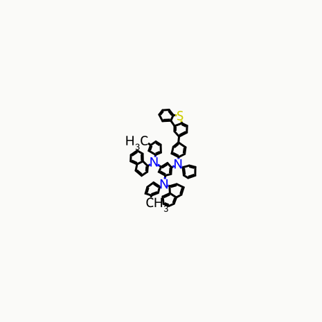 Cc1cccc(N(c2cc(N(c3ccccc3)c3ccc(-c4ccc5sc6ccccc6c5c4)cc3)cc(N(c3cccc(C)c3)c3cccc4ccccc34)c2)c2cccc3ccccc23)c1